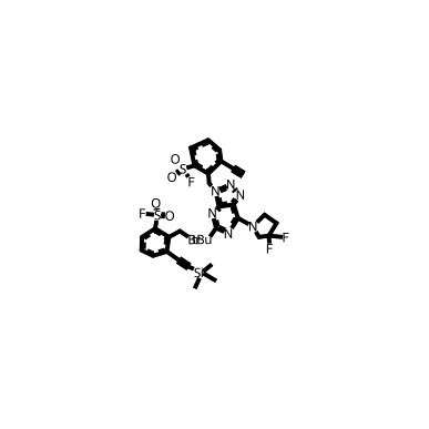 C#Cc1cccc(S(=O)(=O)F)c1Cn1nnc2c(N3CCC(F)(F)C3)nc(C(C)(C)C)nc21.C[Si](C)(C)C#Cc1cccc(S(=O)(=O)F)c1CBr